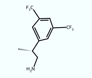 C[C@@H](CN)c1cc(C(F)(F)F)cc(C(F)(F)F)c1